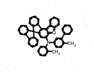 Cc1ccc(N(c2ccccc2C)c2cc3c(c4c2oc2ccccc24)-c2ccccc2C32c3ccccc3-c3ccccc32)cc1-c1ccccc1